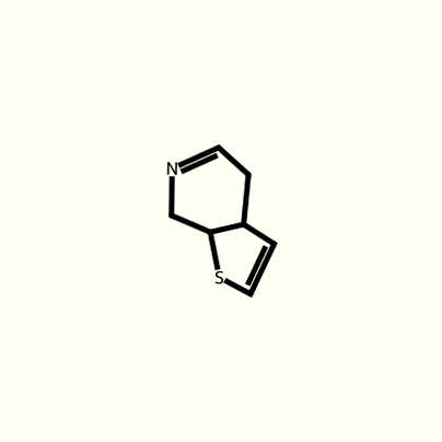 C1=CC2CC=NCC2S1